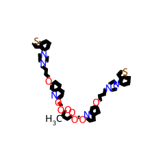 CC(CC(=O)OCOc1ccc2ccc(OCCCCN3CCN(c4cccc5sccc45)CC3)cc2n1)C(=O)OCOc1ccc2ccc(OCCCCN3CCN(c4cccc5sccc45)CC3)cc2n1